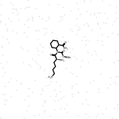 CC(C)(C)OC(=O)N(C(=O)[C@@H](N)CCCCN)C1CCCCC1C(N)=O